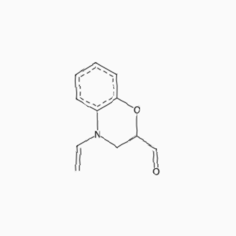 C=CN1CC(C=O)Oc2ccccc21